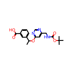 CC(Oc1cc(CNC(=O)OC(C)(C)C)ncn1)c1cccc(C(=O)O)c1